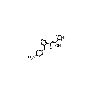 Nc1ccc(Cc2cscc2C(=O)C=C(O)c2nc[nH]n2)cc1